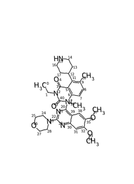 CCN1C(=O)c2c(ccc(C)c2C2CCNCC2)[N+](C)(c2nc(N3CCOCC3)nc3cc(OC)c(OC)cc23)C1=O